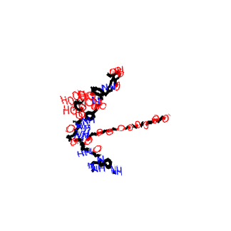 CC[C@@]1(O)C(=O)OCc2c1cc1n(c2=O)Cc2cc3c(CN(C)C(=O)OCc4ccc(NC(=O)[C@H](C)NC(=O)[C@@H](NC(=O)[C@H](CCCCNC(=O)CCn5c(CN(C)NC)cc6cc(NC)ccc65)NC(=O)CCOCCOCCOCCOCCOCCOCCOCCOC)C(C)C)c(O[C@@H]5O[C@H](C(=O)O)[C@@H](O)[C@H](O)[C@H]5O)c4)c(O)ccc3nc2-1